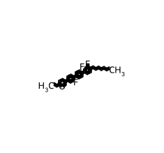 CCCCCCCCc1ccc(-c2ccc(-c3ccc(C4CCC(CCC)OC4)cc3F)cc2)c(F)c1F